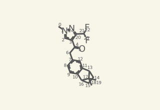 Cn1cc(C(=O)Cc2ccc3c(c2)C2CCC3C2(C)C)c(C(F)F)n1